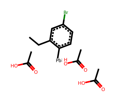 CC(=O)O.CC(=O)O.CC(=O)O.CCc1cc(Br)cc[c]1[Pb]